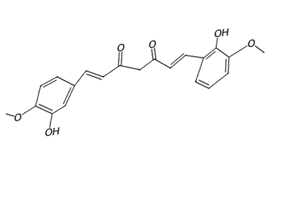 COc1ccc(C=CC(=O)CC(=O)C=Cc2cccc(OC)c2O)cc1O